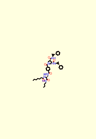 CCCCCCC(=O)N[C@@H](CNC(=O)c1ccc(C(=O)N2C[C@@H](C(=O)N[C@H]3C[C@@H]3c3ccccc3)[C@H](C(=O)N[C@H]3C[C@@H]3c3ccccc3)C2)cc1)C(=O)NCCCC